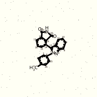 Cc1ccc(-n2nc3ccccc3c2-c2cccc3c2C(=O)NC3=O)cc1